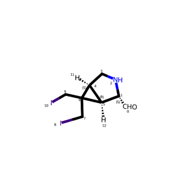 O=C[C@H]1NC[C@H]2[C@@H]1C2(CI)CI